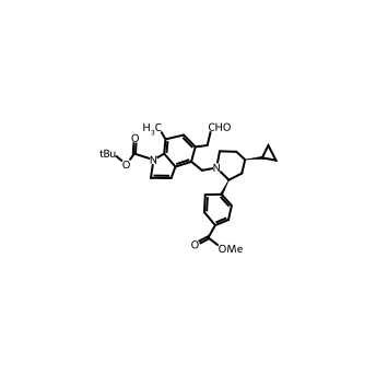 COC(=O)c1ccc([C@@H]2C[C@H](C3CC3)CCN2Cc2c(CC=O)cc(C)c3c2ccn3C(=O)OC(C)(C)C)cc1